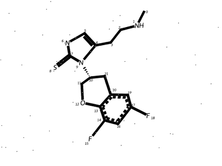 CNCCC1=C[N]C(=S)N1[C@H]1COc2c(F)cc(F)cc2C1